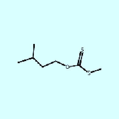 CSC(=S)OCCC(C)C